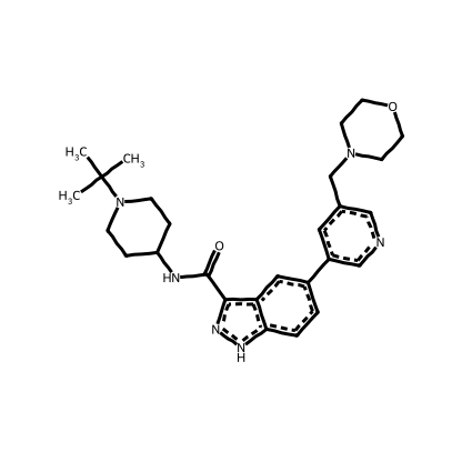 CC(C)(C)N1CCC(NC(=O)c2n[nH]c3ccc(-c4cncc(CN5CCOCC5)c4)cc23)CC1